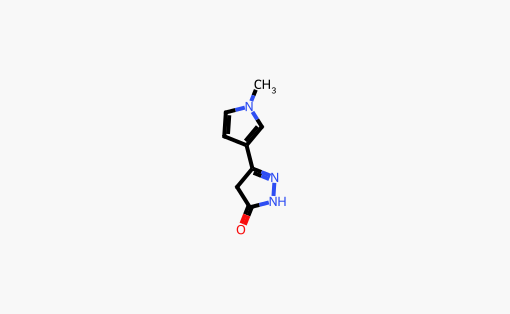 Cn1ccc(C2=NNC(=O)C2)c1